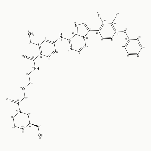 CCc1cc(Nc2nccn3c(-c4ccc(Oc5ccccn5)c(F)c4F)cnc23)ccc1C(=O)NCCOCC(=O)N1CCN[C@H](CO)C1